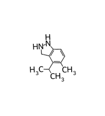 Cc1ccc2c(c1C(C)C)CNN2